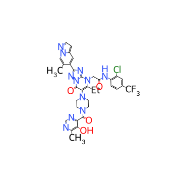 CCc1c(N2CCN(C(=O)c3ncnc(C)c3O)CC2)c(=O)n2nc(-c3cc4ccnn4cc3C)nc2n1CC(=O)Nc1ccc(C(F)(F)F)cc1Cl